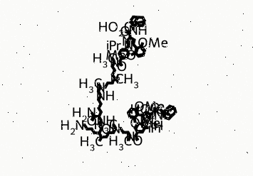 COc1cccc(OC)c1-c1cc(C(=O)NC2(C(=O)O)C3CC4CC(C3)CC2C4)nn1-c1ccc(C(=O)N(C)CCCN(C)CCCC(C)C(CCCCN)C(=O)CNC(CCCCNCN(C)CCCN(C)CCCN(C)C(=O)c2ccc(-n3nc(C(=O)NC4(C(=O)O)C5CC6CC(C5)CC4C6)cc3-c3c(OC)cccc3OC)c(C(C)C)c2)C(N)=O)cc1C(C)C